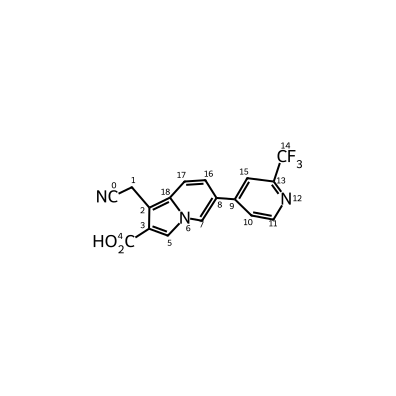 N#CCc1c(C(=O)O)cn2cc(-c3ccnc(C(F)(F)F)c3)ccc12